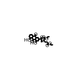 CCOC(=O)CCC(C(=O)OCC)N(C)C(=O)c1cc(O)c2c(c1)C(=O)c1cccc(O)c1C2=O